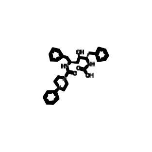 O=C(O)N[C@@H](Cc1ccccc1)[C@@H](O)C[C@H](Cc1ccccc1)NC(=O)N1CCN(c2ccccc2)CC1